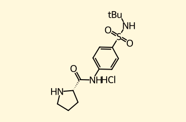 CC(C)(C)NS(=O)(=O)c1ccc(NC(=O)[C@@H]2CCCN2)cc1.Cl